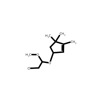 COC(CCl)OC1C=C(C)C(C)(C)C1